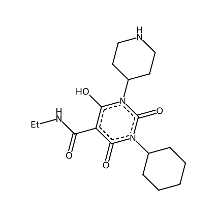 CCNC(=O)c1c(O)n(C2CCNCC2)c(=O)n(C2CCCCC2)c1=O